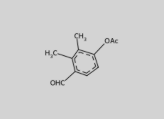 CC(=O)Oc1ccc(C=O)c(C)c1C